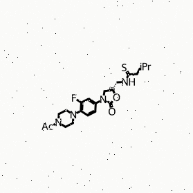 CC(=O)N1CCN(c2ccc(N3C[C@H](CNC(=S)CC(C)C)OC3=O)cc2F)CC1